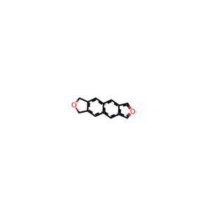 c1occ2cc3cc4c(cc3cc12)COC4